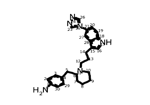 Nc1ccc(CC2CCCCN2CCCc2c[nH]c3ccc(-n4cnnc4)cc23)cc1